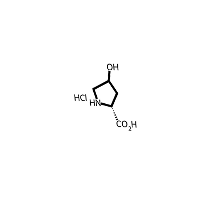 Cl.O=C(O)[C@H]1CC(O)CN1